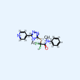 CC(=O)n1c(SC(F)(F)C(=O)N(C)c2ccccc2)nnc1-c1ccncc1